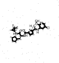 COc1ncc(Cl)cc1N[C@H](C)c1ccc(C(=O)N[C@@H](CC2CCCC2)C(=O)N[C@@H]2CC2(F)F)s1